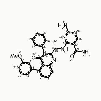 COc1cc(-c2cccc3nc([C@H](C)Nc4nc(N)ncc4C(N)=O)n(-c4ccccc4)c(=O)c23)ccn1